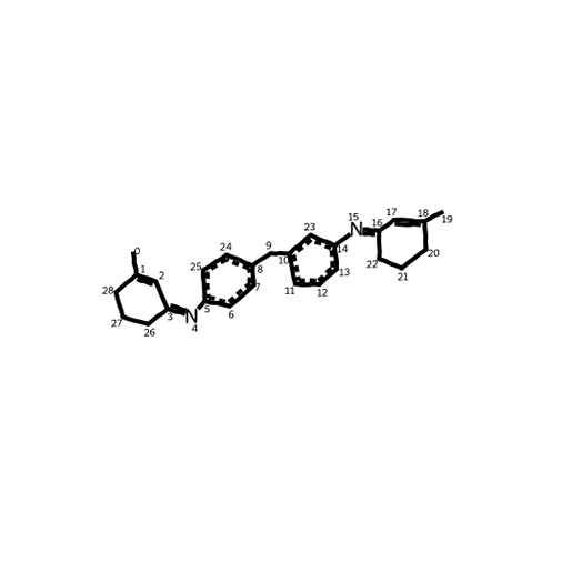 CC1=C/C(=N\c2ccc(Cc3cccc(/N=C4/C=C(C)CCC4)c3)cc2)CCC1